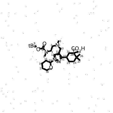 CN(CCN(C)C(=O)OC(C)(C)C)Cc1cn(C2CCCCO2)nc1C1CCC(C)(C)[C@@](C)(C(=O)O)C1